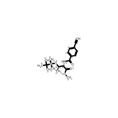 C#Cc1ccc(C(=O)N[C@H](C(=O)OC)[C@@H](C)O[Si](C)(C)C(C)(C)C)cc1